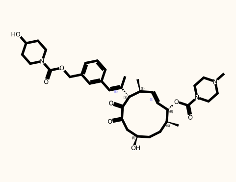 C/C(=C\c1cccc(COC(=O)N2CCC(O)CC2)c1)[C@H]1C(=O)C(=O)C[C@H](O)CC[C@H](C)[C@@H](OC(=O)N2CCN(C)CC2)/C=C/[C@@H]1C